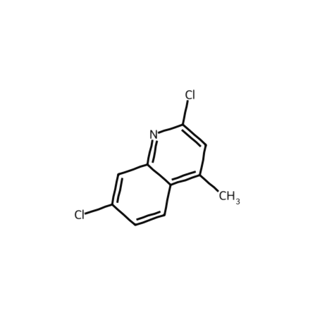 Cc1cc(Cl)nc2cc(Cl)ccc12